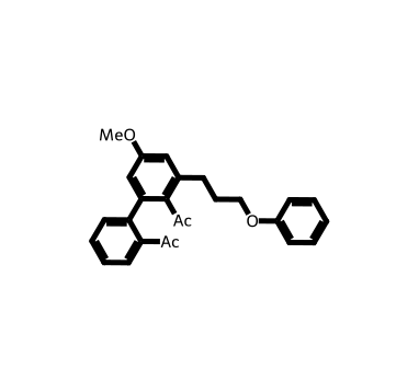 COc1cc(CCCOc2ccccc2)c(C(C)=O)c(-c2ccccc2C(C)=O)c1